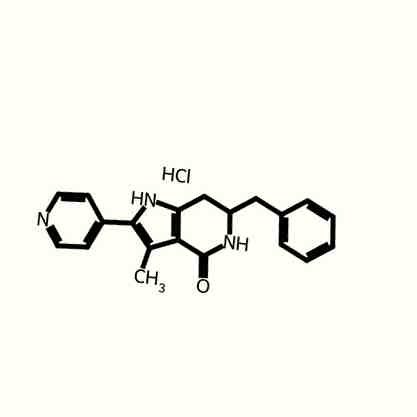 Cc1c(-c2ccncc2)[nH]c2c1C(=O)NC(Cc1ccccc1)C2.Cl